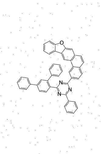 c1ccc(-c2ccc(-c3nc(-c4ccccc4)nc(-c4ccc5ccc6cc7oc8ccccc8c7cc6c5c4)n3)c(-c3ccccc3)c2)cc1